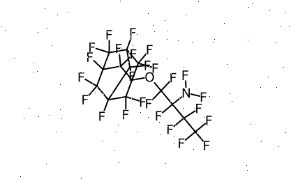 FN(F)C(F)(C(F)(F)OC12C(F)(F)C3(F)C(F)(F)C(F)(C(F)(F)C(F)(C3(F)F)C1(F)F)C2(F)F)C(F)(F)C(F)(F)F